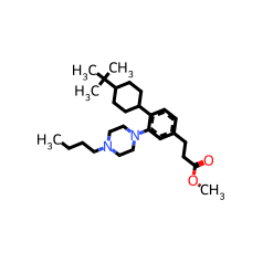 CCCCN1CCN(c2cc(CCC(=O)OC)ccc2C2CCC(C(C)(C)C)CC2)CC1